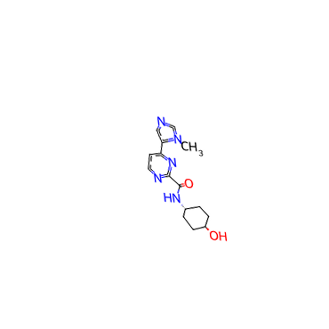 Cn1cncc1-c1ccnc(C(=O)N[C@H]2CC[C@H](O)CC2)n1